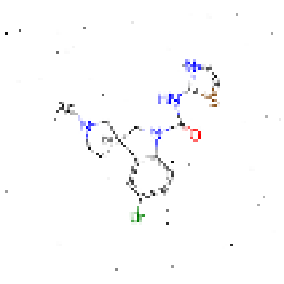 CC(=O)N1CC[C@]2(C1)CN(C(=O)Nc1nccs1)c1ccc(Br)cc12